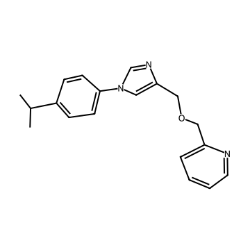 CC(C)c1ccc(-n2cnc(COCc3ccccn3)c2)cc1